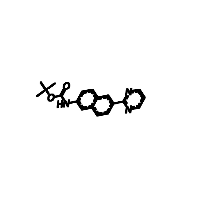 CC(C)(C)OC(=O)Nc1ccc2cc(-c3ncccn3)ccc2c1